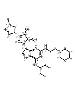 CCC(CC)Nc1nc(NCCN2CCCCC2)nc2c1ncn2[C@@H]1O[C@H](c2nnn(C)n2)[C@@H](O)[C@H]1O